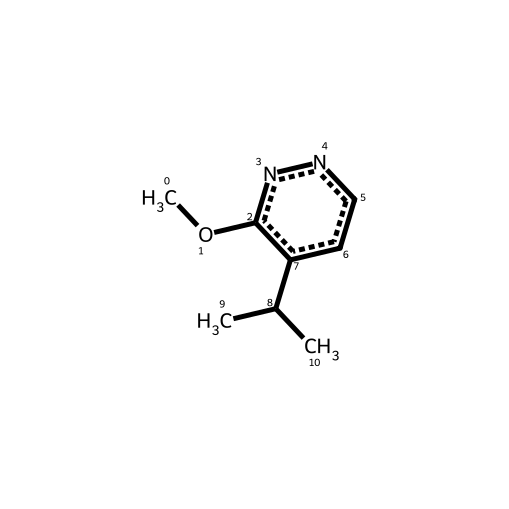 COc1nnccc1C(C)C